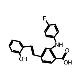 O=C(O)c1ccc(C=Cc2ccccc2O)cc1Nc1ccc(F)cc1